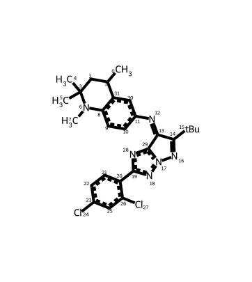 CC1CC(C)(C)N(C)c2ccc(/N=C3/C(C(C)(C)C)=Nn4nc(-c5ccc(Cl)cc5Cl)nc43)cc21